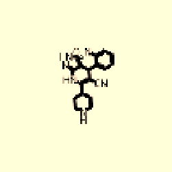 N#CC1=C(C2CCNCC2)Nc2n[nH]cc2C1c1ccccc1[N+](=O)[O-]